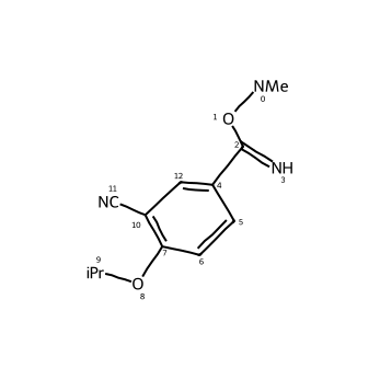 CNOC(=N)c1ccc(OC(C)C)c(C#N)c1